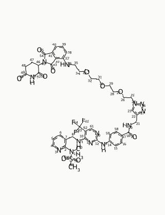 CN(c1ncccc1CNc1nc(Nc2ccc(C(=O)NCc3cn(CCOCCOCCOCCNc4cccc5c4C(=O)N(C4CCC(=O)NC4=O)C5=O)nn3)cc2)ncc1C(F)(F)F)S(C)(=O)=O